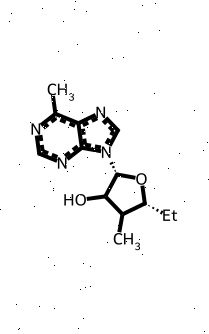 CC[C@H]1O[C@@H](n2cnc3c(C)ncnc32)C(O)C1C